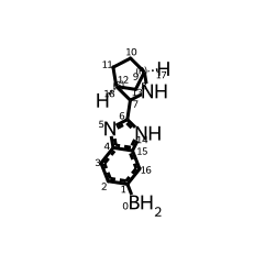 Bc1ccc2nc(C3N[C@@H]4CC[C@H]3C4)[nH]c2c1